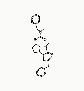 CN(Cc1ccccc1)C(=O)NC1CCC2c3cc(Cc4ccccc4)ccc3N(C)C12